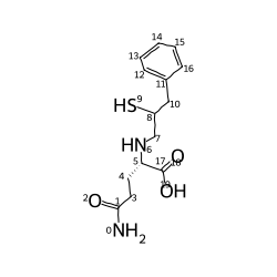 NC(=O)CC[C@H](NCC(S)Cc1ccccc1)C(=O)O